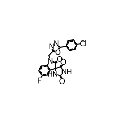 O=C1NC(=O)C2(N1)C(=O)N(Cc1nnc(-c3ccc(Cl)cc3)o1)c1ccc(F)cc12